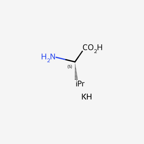 CC(C)[C@H](N)C(=O)O.[KH]